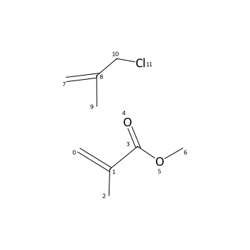 C=C(C)C(=O)OC.C=C(C)CCl